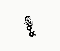 Cc1cccc(C2=Cc3cnn(-c4ncccn4)c(=O)c3CC2)c1C